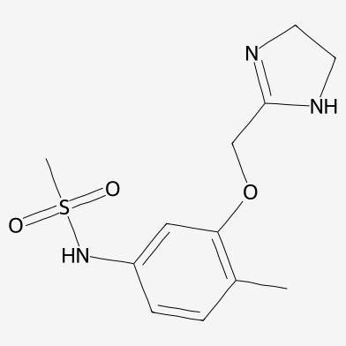 Cc1ccc(NS(C)(=O)=O)cc1OCC1=NCCN1